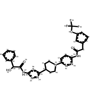 O=C(Cc1cccc(OC(F)(F)F)c1)Nc1ccc(N2CCC(c3nnc(NC(=O)C(O)c4ccccc4)s3)CC2)nn1